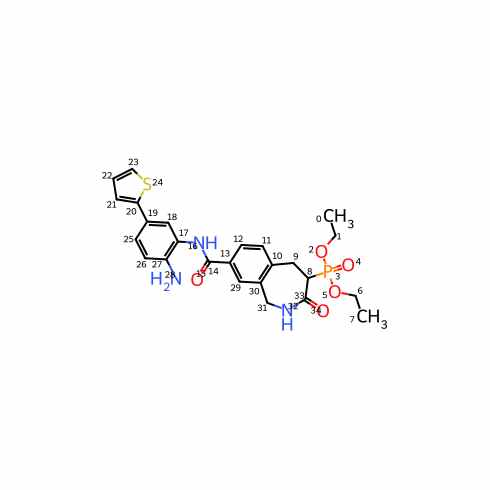 CCOP(=O)(OCC)C1Cc2ccc(C(=O)Nc3cc(-c4cccs4)ccc3N)cc2CNC1=O